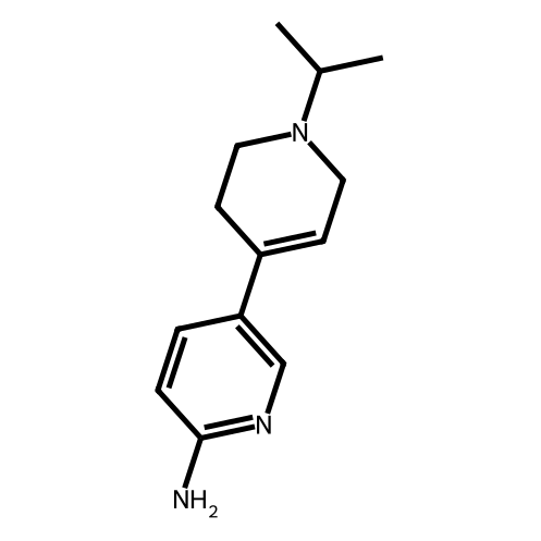 CC(C)N1CC=C(c2ccc(N)nc2)CC1